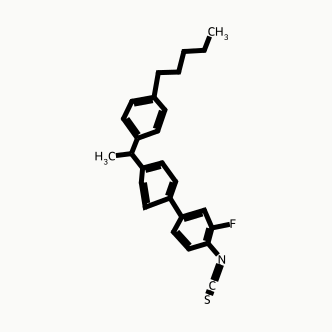 CCCCCc1ccc(C(C)c2ccc(-c3ccc(N=C=S)c(F)c3)cc2)cc1